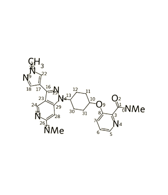 CNC(=O)c1ncccc1OC1CCC(n2nc(-c3cnn(C)c3)c3cnc(NC)cc32)CC1